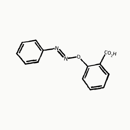 O=C(O)c1ccccc1ON=Nc1ccccc1